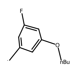 [CH2]c1cc(F)cc(OCCCC)c1